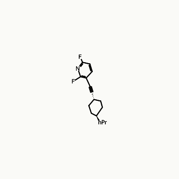 CCC[C@H]1CC[C@H](C#Cc2ccc(F)nc2F)CC1